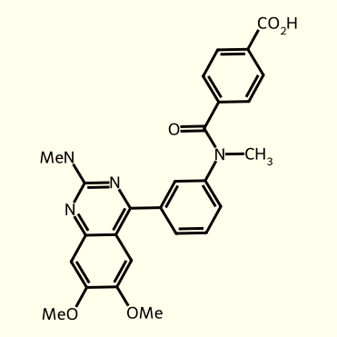 CNc1nc(-c2cccc(N(C)C(=O)c3ccc(C(=O)O)cc3)c2)c2cc(OC)c(OC)cc2n1